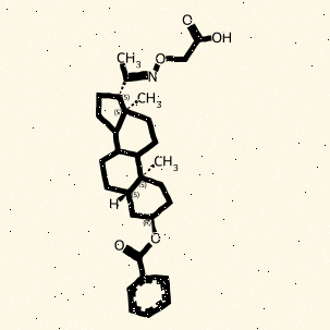 CC(=NOCC(=O)O)[C@H]1CCC2C3CC[C@H]4C[C@H](OC(=O)c5ccccc5)CC[C@]4(C)C3CC[C@@]21C